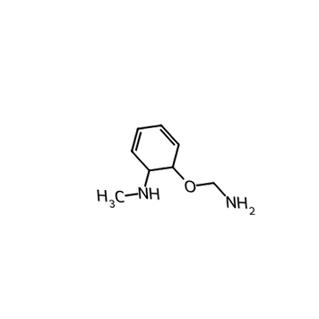 CNC1C=CC=CC1OCN